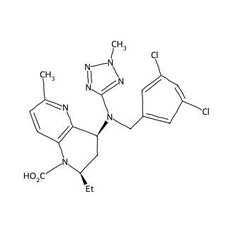 CC[C@@H]1C[C@H](N(Cc2cc(Cl)cc(Cl)c2)c2nnn(C)n2)c2nc(C)ccc2N1C(=O)O